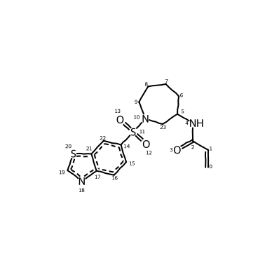 C=CC(=O)NC1CCCCN(S(=O)(=O)c2ccc3ncsc3c2)C1